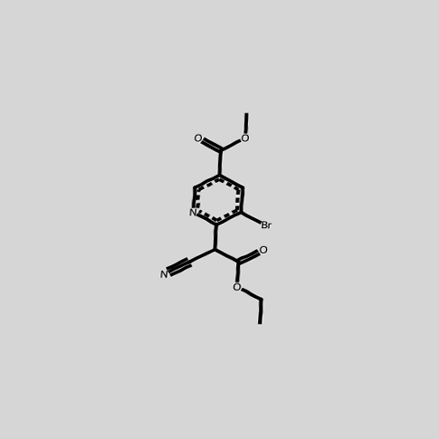 CCOC(=O)C(C#N)c1ncc(C(=O)OC)cc1Br